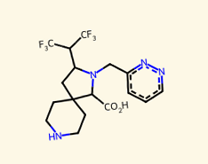 O=C(O)C1N(Cc2cccnn2)C(C(C(F)(F)F)C(F)(F)F)CC12CCNCC2